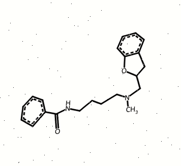 CN(CCCCNC(=O)c1ccccc1)CC1Cc2ccccc2O1